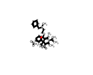 CC1=C([PH2]=O)C(c2cccc([N+](=O)[O-])c2)(C(C)C)C(C(=O)OCCN(C)Cc2ccccc2)=C(C)N1C(C)C